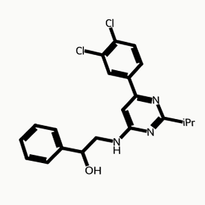 CC(C)c1nc(NCC(O)c2ccccc2)cc(-c2ccc(Cl)c(Cl)c2)n1